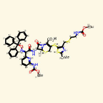 COc1nc(CSCCNC(=O)OC(C)(C)C)c(SC2=C(C(=O)O)N3C(=O)[C@@H](NC(=O)/C(=N\OC(c4ccccc4)(c4ccccc4)c4ccccc4)c4cccc(NC(=O)OC(C)(C)C)n4)[C@@H]3SC2)s1